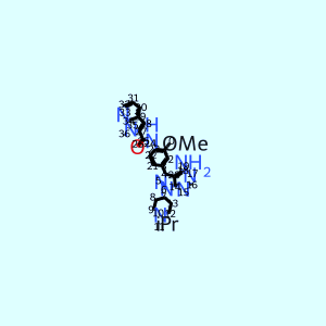 COc1cc(-c2nn(C3CCN(C(C)C)CC3)c3ncnc(N)c23)ccc1NC(=O)c1cc2cccnc2n1C